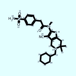 CN(C(=O)Cc1ccc(S(N)(=O)=O)cc1)c1sc2c(c1C#N)CN(CC1CCCCC1)C(C)(C)C2